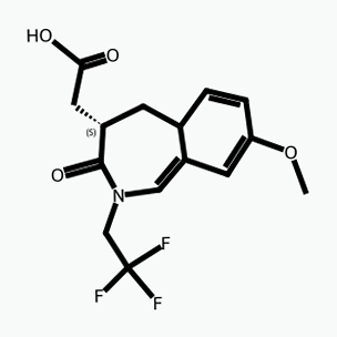 COC1=CC2=CN(CC(F)(F)F)C(=O)[C@H](CC(=O)O)CC2C=C1